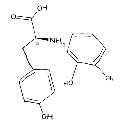 N[C@@H](Cc1ccc(O)cc1)C(=O)O.Oc1ccccc1O